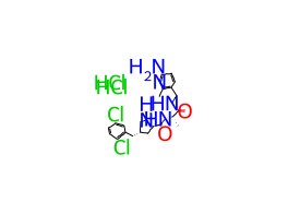 Cc1nc(N)ccc1CNC(=O)[C@H](C)NC(=O)[C@H]1C[C@H](Cc2cc(Cl)ccc2Cl)CN1.Cl.Cl